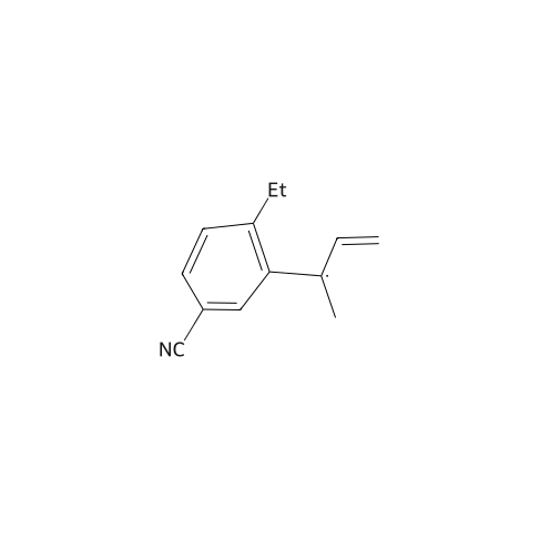 C=C[C](C)c1cc(C#N)ccc1CC